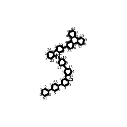 c1ccc(-c2ccc(-c3ccc4sc5ccc(-c6ccc(-n7c8ccccc8c8ccc(-c9ccc%10c%11ccccc%11c%11ccccc%11c%10c9)cc87)cc6)cc5c4c3)cc2)cc1